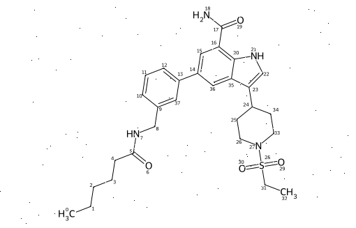 CCCCCC(=O)NCc1cccc(-c2cc(C(N)=O)c3[nH]cc(C4CCN(S(=O)(=O)CC)CC4)c3c2)c1